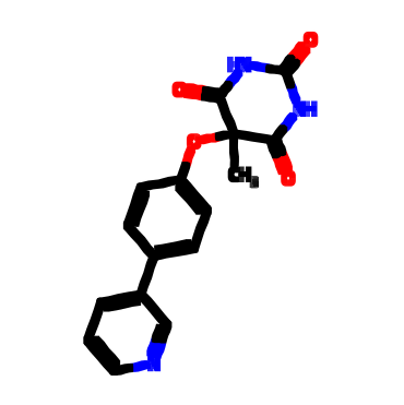 CC1(Oc2ccc(-c3cccnc3)cc2)C(=O)NC(=O)NC1=O